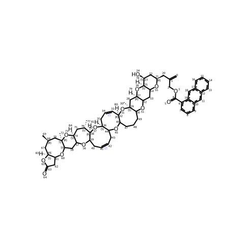 C=C(COC(=O)c1cccc2cc3ccccc3cc12)C[C@@H]1C[C@H](O)[C@@H]2O[C@@H]3C[C@]4(C)O[C@@H]5/C=C\C[C@@H]6O[C@H]7C(C/C=C\CC6OC5CCCC4OC3CC2O1)OC1CC2OC3CC(=O)O[C@H]3C[C@@H](C)C[C@@]2(C)O[C@H]1C[C@@H]7C